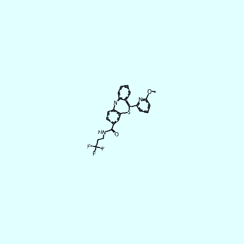 COc1cccc(C2=c3ccccc3=Nc3ccc(C(=O)NCCC(F)(F)F)cc3S2)n1